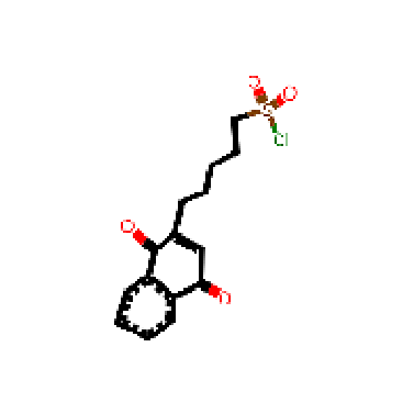 O=C1C=C(CCCCCS(=O)(=O)Cl)C(=O)c2ccccc21